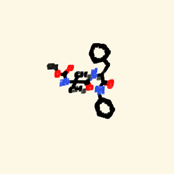 CC(C)(C)OC(=O)NC(C)(C)C(=O)N[C@@H](Cc1ccccc1)C(=O)Nc1ccccc1